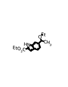 CCOC(=O)c1cc2ccc(C(C)OCC)cc2[nH]1